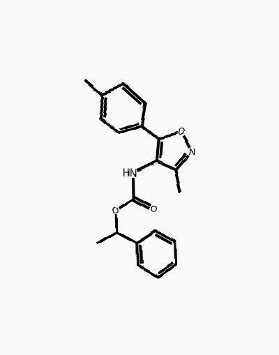 Cc1ccc(-c2onc(C)c2NC(=O)OC(C)c2ccccc2)cc1